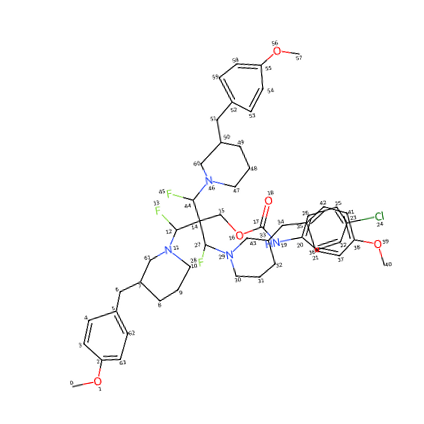 COc1ccc(CC2CCCN(C(F)C(COC(=O)Nc3ccc(Cl)cc3)(C(F)N3CCCC(Cc4ccc(OC)cc4)C3)C(F)N3CCCC(Cc4ccc(OC)cc4)C3)C2)cc1